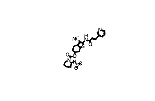 N#Cc1c(NC(=O)C=Cc2cccnc2)sc2c1CCC(OC(=O)N1CCCCC1N=S(=O)=O)C2